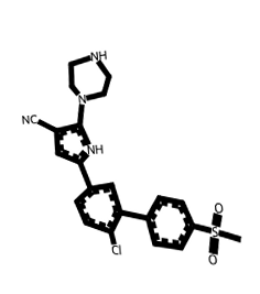 CS(=O)(=O)c1ccc(-c2cc(-c3cc(C#N)c(N4CCNCC4)[nH]3)ccc2Cl)cc1